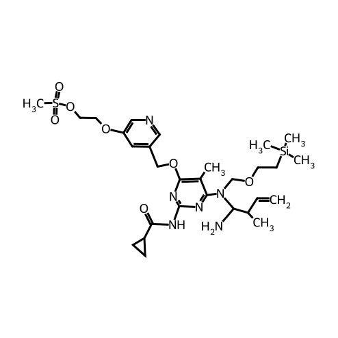 C=CC(C)C(N)N(COCC[Si](C)(C)C)c1nc(NC(=O)C2CC2)nc(OCc2cncc(OCCOS(C)(=O)=O)c2)c1C